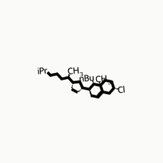 CCCC[C@H]1[C@H]([C@@H]2CC[C@H]([C@H](C)CCCC(C)C)C2)CC=C2C[C@@H](Cl)CC[C@@]21C